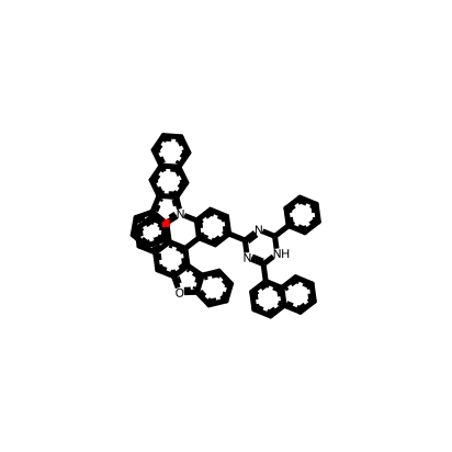 c1ccc(C2N=C(c3ccc(-n4c5ccccc5c5cc6ccccc6cc54)c(-c4c5ccccc5cc5oc6ccccc6c45)c3)N=C(c3cccc4ccccc34)N2)cc1